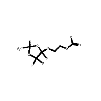 CC1(C(F)(F)F)OC(F)(F)C(F)(OCCOC(=O)F)O1